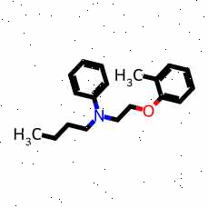 CCCCN(CCOc1ccccc1C)c1ccccc1